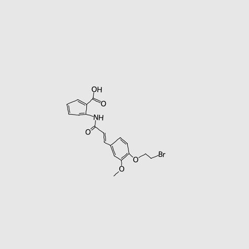 COc1cc(/C=C/C(=O)Nc2ccccc2C(=O)O)ccc1OCCBr